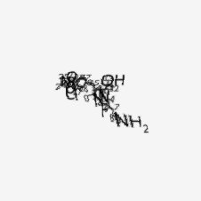 Cc1nn(C/C(F)=C/CN)c(C(C)O)c1Cc1ccc(S(=O)(=O)N(C)C)c(Cl)c1